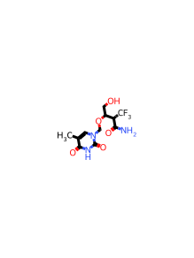 Cc1cn(COC(CO)C(C(N)=O)C(F)(F)F)c(=O)[nH]c1=O